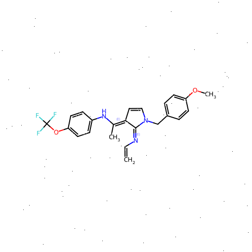 C=C/N=C1\C(=C(/C)Nc2ccc(OC(F)(F)F)cc2)C=CN1Cc1ccc(OC)cc1